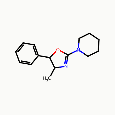 CC1N=C(N2CCCCC2)OC1c1ccccc1